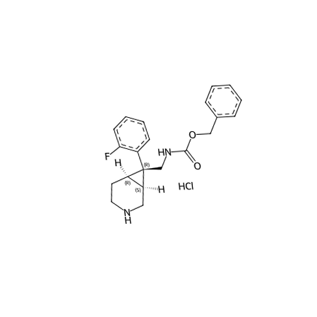 Cl.O=C(NC[C@]1(c2ccccc2F)[C@@H]2CCNC[C@@H]21)OCc1ccccc1